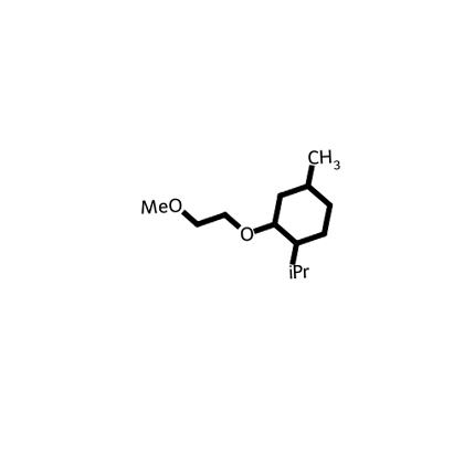 COCCOC1CC(C)CCC1C(C)C